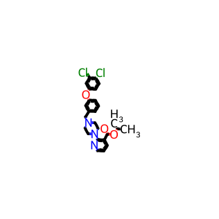 CC(C)OC(=O)c1cccnc1N1CCN(Cc2cccc(Oc3ccc(Cl)c(Cl)c3)c2)CC1